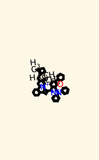 C[C@H]1C2CCC3C(CC4CC5=[N+](C=C4[Si](C)(C)C)C4C(C6c7ccc8c9c(oc8c7-c7n(-c8ccccc8)c8ccccc8[n+]76)CCC=C9)=CC4C4=C5CCCC4)C321